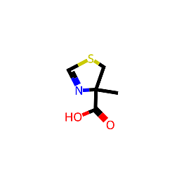 CC1(C(=O)O)CSC=N1